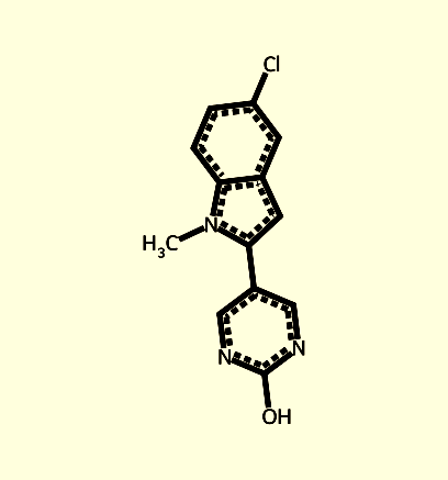 Cn1c(-c2cnc(O)nc2)cc2cc(Cl)ccc21